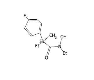 CCN(O)[C](=O)[Sn]([CH3])([CH2]C)[c]1ccc(F)cc1